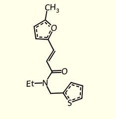 CCN(Cc1cccs1)C(=O)/C=C/c1ccc(C)o1